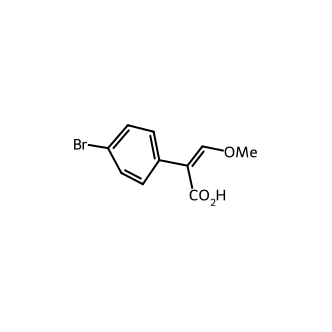 COC=C(C(=O)O)c1ccc(Br)cc1